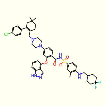 Cc1cc(S(=O)(=O)NC(=O)c2ccc(N3CCN(CC4=C(c5ccc(Cl)cc5)CC(C)(C)CC4)CC3)cc2Oc2cccc3[nH]ncc23)ccc1NCC1CCC(F)(F)CC1